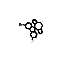 Brc1ccc2c(c1)-c1cc(Br)ccc1C21c2ccccc2CCc2ccccc21